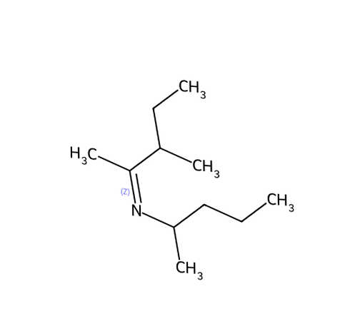 CCCC(C)/N=C(/C)C(C)CC